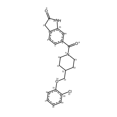 O=C1Cc2ccc(C(=O)N3CCC(COc4ccccc4Cl)CC3)cc2N1